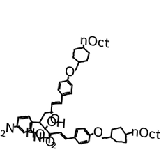 CCCCCCCCC1CCC(COc2ccc(C=CC(=O)CC(c3ccc(N)cc3N)C(O)(O)C(=O)C=Cc3ccc(OCC4CCC(CCCCCCCC)CC4)cc3)cc2)CC1